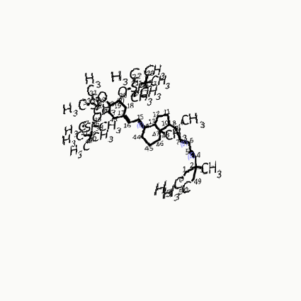 CCC(C)(/C=C/C=C/[C@@H](C)C1CCC2/C(=C/C=C3C[C@@H](O[Si](C)(C)C(C)(C)C)C(O[Si](C)(C)C)[C@H](O[Si](C)(C)C(C)(C)C)C3)CCCC21C)CC